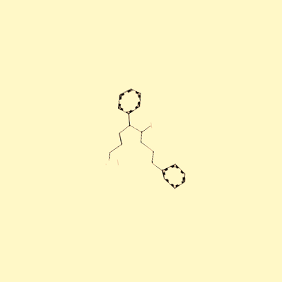 OCCCC(c1ccccc1)C(I)CCCc1ccccc1